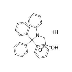 O=C(O)CN(c1ccccc1)C(c1ccccc1)(c1ccccc1)c1ccccc1.[KH]